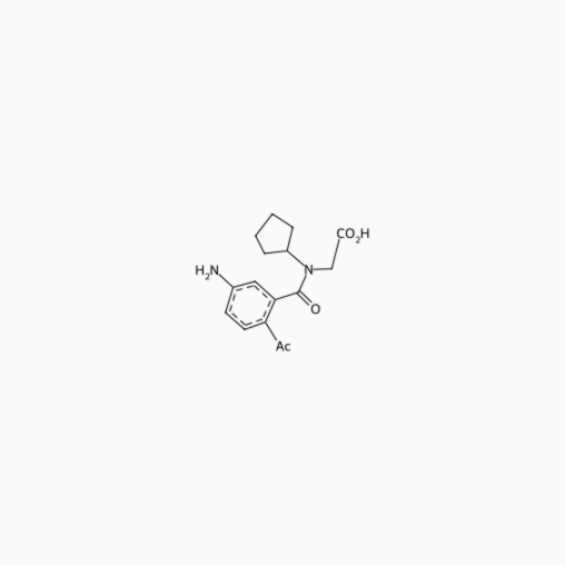 CC(=O)c1ccc(N)cc1C(=O)N(CC(=O)O)C1CCCC1